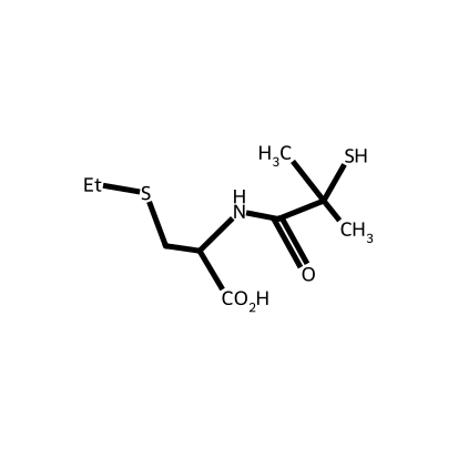 CCSCC(NC(=O)C(C)(C)S)C(=O)O